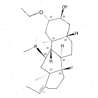 C/C=C1/CC[C@H]2[C@@H]3CC[C@H]4C[C@H](O)[C@@H](OCC)C[C@]4(C)[C@H]3[C@H](N(C)C)C[C@]12C